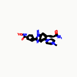 CN1CCN(c2cc3nc(-c4ccc(C(=O)NO)cc4)[nH]c3cc2/C=C/C(N)=O)CC1